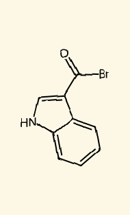 O=C(Br)c1c[nH]c2ccccc12